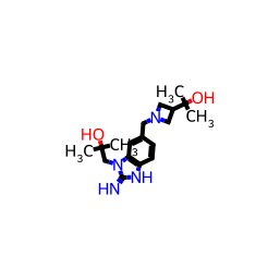 CC(C)(O)Cn1c(=N)[nH]c2ccc(CN3CC(C(C)(C)O)C3)cc21